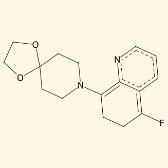 FC1=c2cccnc2=C(N2CCC3(CC2)OCCO3)CC1